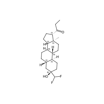 CCC(=O)[C@H]1CC[C@H]2[C@@H]3CC[C@H]4C[C@@](O)(C(F)F)CC[C@@H]4[C@H]3CC[C@]12C